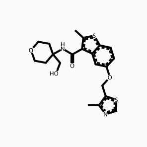 Cc1ncsc1COc1ccc2sc(C)c(C(=O)NC3(CO)CCOCC3)c2c1